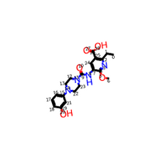 CCc1nc(OC)c(NC(=O)N2CCN(c3cccc(O)c3)CC2)cc1C(=O)O